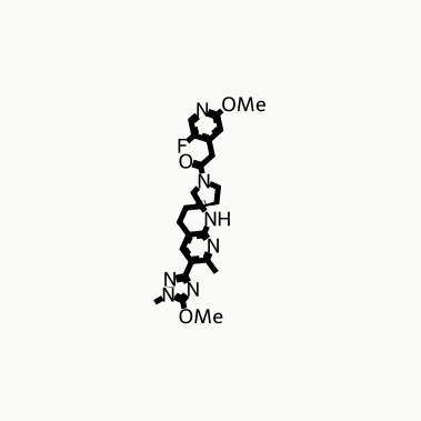 COc1cc(CC(=O)N2CC[C@@]3(CCc4cc(-c5nc(OC)n(C)n5)c(C)nc4N3)C2)c(F)cn1